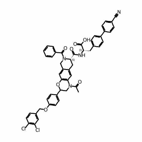 CC(=O)N1CC(c2ccc(OCc3ccc(Cl)c(Cl)c3)cc2)Oc2cc3c(cc21)C[C@@H](C(=O)N[C@@H](Cc1ccc(-c2ccc(C#N)cc2)cc1)C(=O)O)N(C(=O)c1ccccc1)C3